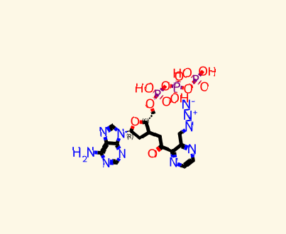 [N-]=[N+]=NCc1nccnc1C(=O)CC1C[C@H](n2cnc3c(N)ncnc32)O[C@@H]1COP(=O)(O)OP(=O)(O)OP(=O)(O)O